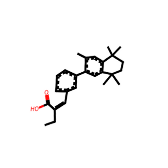 CCC(=Cc1cccc(-c2cc3c(cc2C)C(C)(C)CCC3(C)C)c1)C(=O)O